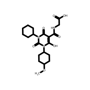 COC1CCC(n2c(O)c(C(=O)NCC(=O)O)c(=O)n(C3CCCCC3)c2=O)CC1